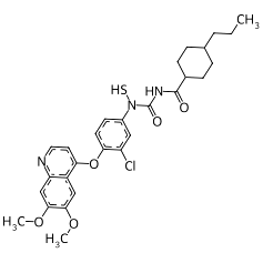 CCCC1CCC(C(=O)NC(=O)N(S)c2ccc(Oc3ccnc4cc(OC)c(OC)cc34)c(Cl)c2)CC1